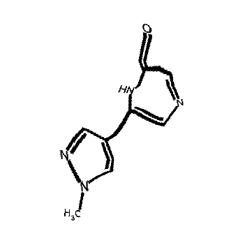 Cn1cc(-c2cncc(=O)[nH]2)cn1